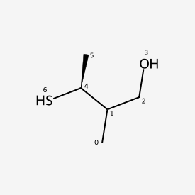 CC(CO)[C@H](C)S